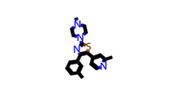 Cc1cccc(-c2nc(N3CCN(C)CC3)sc2-c2ccnc(C)c2)c1